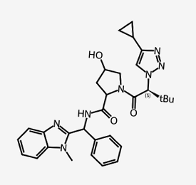 Cn1c(C(NC(=O)C2CC(O)CN2C(=O)[C@@H](n2cc(C3CC3)nn2)C(C)(C)C)c2ccccc2)nc2ccccc21